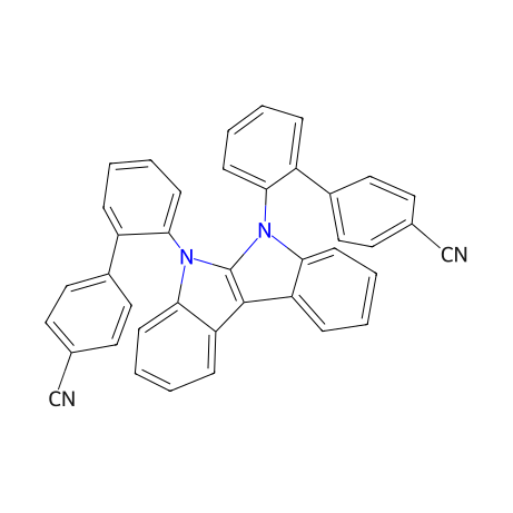 N#Cc1ccc(-c2ccccc2-n2c3ccccc3c3c4ccccc4n(-c4ccccc4-c4ccc(C#N)cc4)c32)cc1